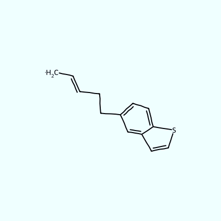 [CH2]C=CCCc1ccc2sccc2c1